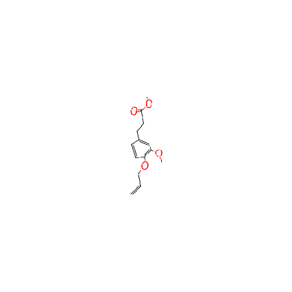 C=CCOc1ccc(CCC(=O)OC)cc1OC